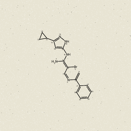 C=C(/N=C\C(Br)=C(/N)Nc1cc(C2CC2)n[nH]1)c1ccccc1